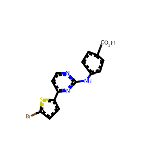 O=C(O)c1ccc(Nc2nccc(-c3ccc(Br)s3)n2)cc1